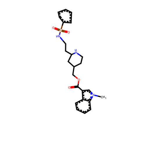 Cn1cc(C(=O)OCC2CCNC(CCNS(=O)(=O)c3ccccc3)C2)c2ccccc21